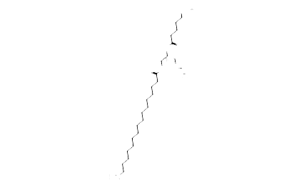 CCCCCCCCCCCCCCC(=O)O[C@@H](COP=O)COC(=O)CCCCCCCCCCCCCCCN